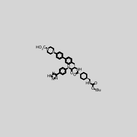 CC(C)(C)OC(=O)NC[C@H]1CC[C@H](C(=O)N[C@@H](Cc2ccc(-c3ccc(N4CCN(C(=O)O)CC4)cc3)cc2)C(=O)Nc2ccc(-c3nn[nH]n3)cc2)CC1